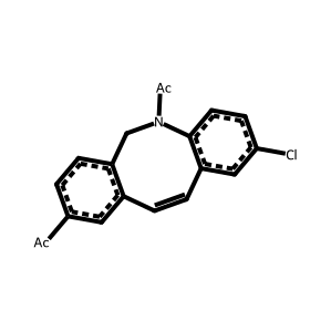 CC(=O)c1ccc2c(c1)C=Cc1cc(Cl)ccc1N(C(C)=O)C2